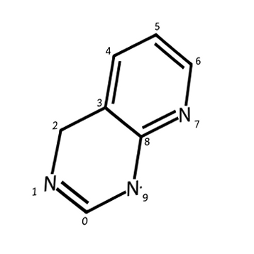 C1=NCc2cccnc2[N]1